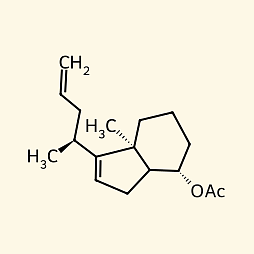 C=CC[C@H](C)C1=CCC2[C@@H](OC(C)=O)CCC[C@]12C